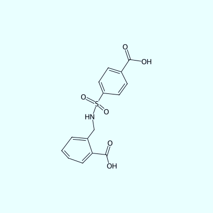 O=C(O)c1ccc(S(=O)(=O)NCc2ccccc2C(=O)O)cc1